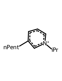 CCCCCc1ccc[n+](C(C)C)c1